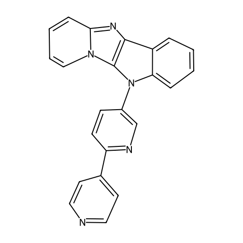 c1ccc2c(c1)c1nc3ccccn3c1n2-c1ccc(-c2ccncc2)nc1